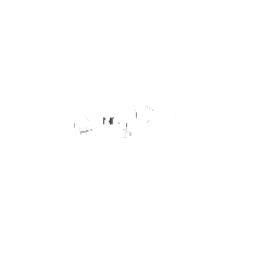 CCc1ccc(C(=O)NN(Cc2cccc(C)c2)C(C)(C)C)c(F)c1